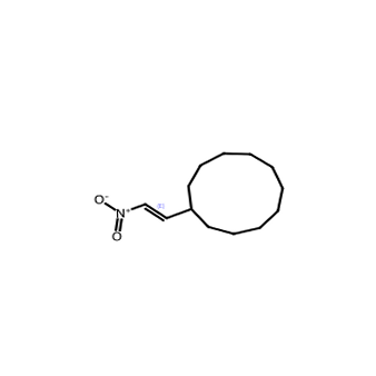 O=[N+]([O-])/C=C/C1CCCCCCCCCC1